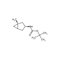 CC(C)(C)OC(=O)N[C@H]1CC2C[C@]2(C)C1